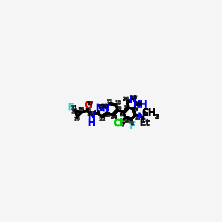 CCN(C)c1c(F)c(Cl)c(-c2ccn3nc(NC(=O)C4CC4F)cc3c2)c2cn[nH]c12